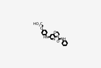 O=C(O)COc1ccc(Nc2cnc3c(c2)OCCN3C(=O)Nc2ccccc2)cc1